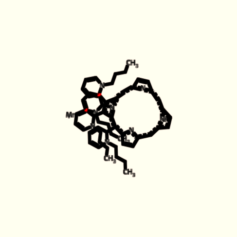 CCCCN1C=CC=CC1c1c(C2C=CC=CN2CCCC)c2c(C3C=CC=CN3CCCC)c3nc(cc4ccc(cc5nc(cc1n2C1C=CC=CN1CCCC)C=C5)[nH]4)C=C3.[Mn]